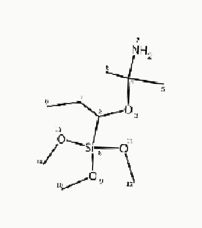 CCC(OC(C)(C)N)[Si](OC)(OC)OC